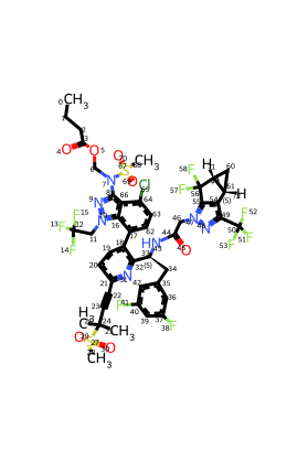 CCCC(=O)OCN(c1nn(CC(F)(F)F)c2c(-c3ccc(C#CC(C)(C)S(C)(=O)=O)nc3[C@H](Cc3cc(F)cc(F)c3)NC(=O)Cn3nc(C(F)(F)F)c4c3C(F)(F)[C@@H]3C[C@H]43)ccc(Cl)c12)S(C)(=O)=O